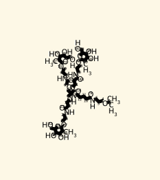 CC(C)OCCCNC(=O)CCCC(=O)NC(COCCC(=O)NCCCO[C@@H]1OC(CO)[C@H](O)[C@H](O)C1C)(COCCC(=O)NCCCO[C@@H]1OC(CO)[C@H](O)[C@H](O)C1C)COCC(=O)NCCCO[C@@H]1OC(CO)[C@H](O)[C@H](O)C1C